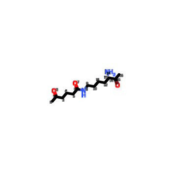 CC(=O)CCCC(=O)NCCCC[C@H](N)C(C)=O